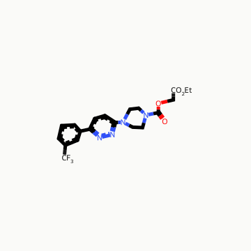 CCOC(=O)COC(=O)N1CCN(c2ccc(-c3cccc(C(F)(F)F)c3)nn2)CC1